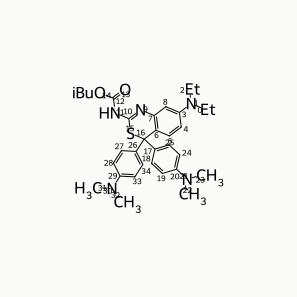 CCN(CC)c1ccc2c(c1)N=C(NC(=O)OCC(C)C)SC2(c1ccc(N(C)C)cc1)c1ccc(N(C)C)cc1